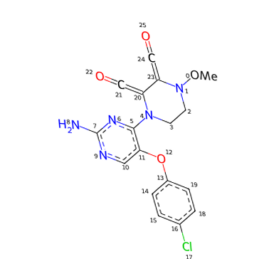 CON1CCN(c2nc(N)ncc2Oc2ccc(Cl)cc2)C(=C=O)C1=C=O